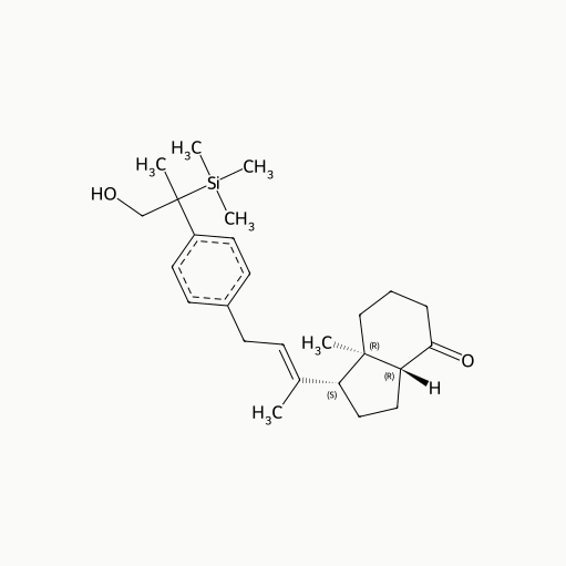 CC(=CCc1ccc(C(C)(CO)[Si](C)(C)C)cc1)[C@H]1CC[C@H]2C(=O)CCC[C@]12C